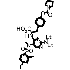 CCN(CC)c1ncc(N(C)S(=O)(=O)c2ccc(F)cc2F)c(N[C@@H](Cc2ccc(OC(=O)N3CCCC3)cc2)C(=O)O)n1